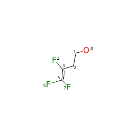 [O]CCC(F)=C(F)F